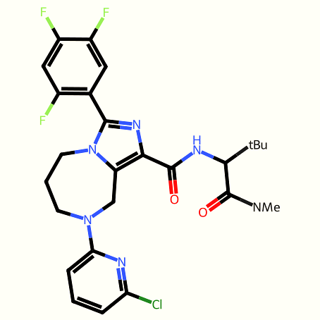 CNC(=O)C(NC(=O)c1nc(-c2cc(F)c(F)cc2F)n2c1CN(c1cccc(Cl)n1)CCC2)C(C)(C)C